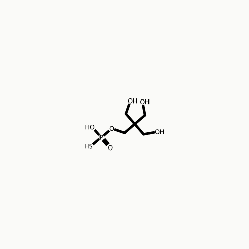 O=P(O)(S)OCC(CO)(CO)CO